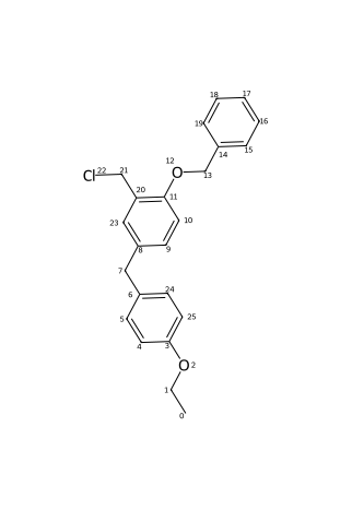 CCOc1ccc(Cc2ccc(OCc3ccccc3)c(CCl)c2)cc1